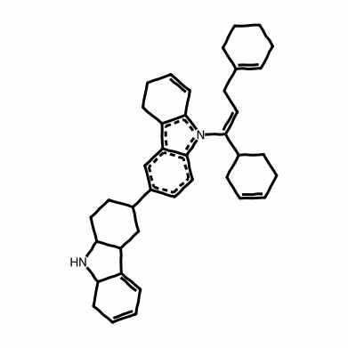 C1=CCC2NC3CCC(c4ccc5c(c4)c4c(n5/C(=C\CC5=CCCCC5)C5CC=CCC5)C=CCC4)CC3C2=C1